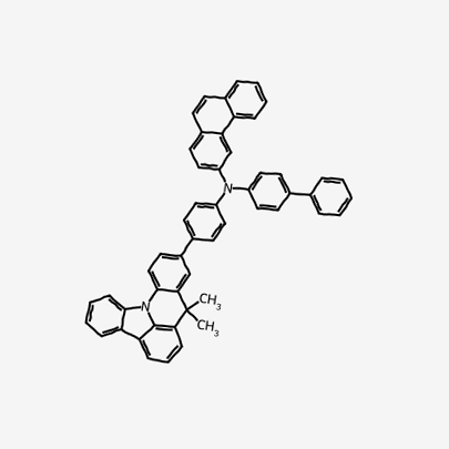 CC1(C)c2cc(-c3ccc(N(c4ccc(-c5ccccc5)cc4)c4ccc5ccc6ccccc6c5c4)cc3)ccc2-n2c3ccccc3c3cccc1c32